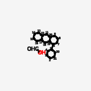 O=CO.c1ccc(-c2cccc3cc4ccccc4cc23)cc1